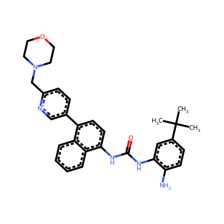 CC(C)(C)c1ccc(N)c(NC(=O)Nc2ccc(-c3ccc(CN4CCOCC4)nc3)c3ccccc23)c1